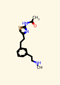 [CH]NCCc1cccc(CCc2csc(NC(C)=O)n2)c1